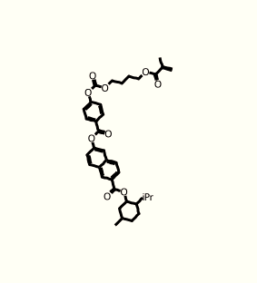 C=C(C)C(=O)OCCCCOC(=O)Oc1ccc(C(=O)Oc2ccc3cc(C(=O)OC4CC(C)CCC4C(C)C)ccc3c2)cc1